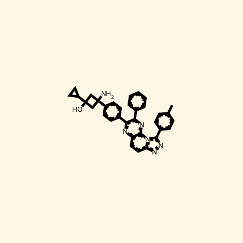 Cc1ccc(-c2nnc3ccc4nc(-c5ccc(C6(N)CC(O)(C7CC7)C6)cc5)c(-c5ccccc5)nc4n23)cc1